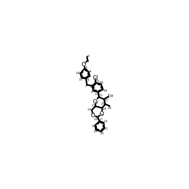 CCOc1ccc(Cc2cc(C3OC4COC(c5ccccc5)OC4C(C)C3I)ccc2Cl)cc1